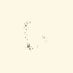 CN(CC1CCN(S(=O)(=O)Nc2nccc(COc3ccc(C(C)(C)c4cc(Cl)c(OCCCl)c(C#N)c4)cc3)n2)CC1)C1CCN(Cc2cccc3c2n(C)c(=O)n3C2CCC(=O)NC2=O)CC1